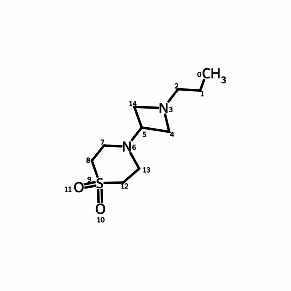 CCCN1CC(N2CCS(=O)(=O)CC2)C1